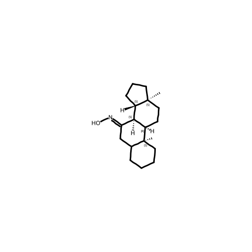 C[C@@]12CCC[C@H]1[C@@H]1C(=NO)CC3CCCC[C@]3(C)[C@@H]1CC2